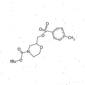 Cc1ccc(S(=O)(=O)OCC2CN(C(=O)OC(C)(C)C)CCO2)cc1